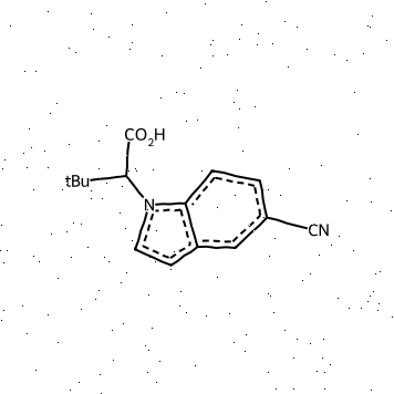 CC(C)(C)C(C(=O)O)n1ccc2cc(C#N)ccc21